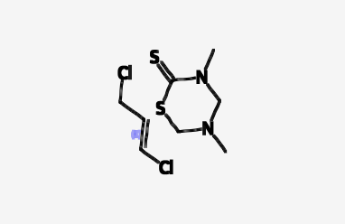 CN1CSC(=S)N(C)C1.Cl/C=C/CCl